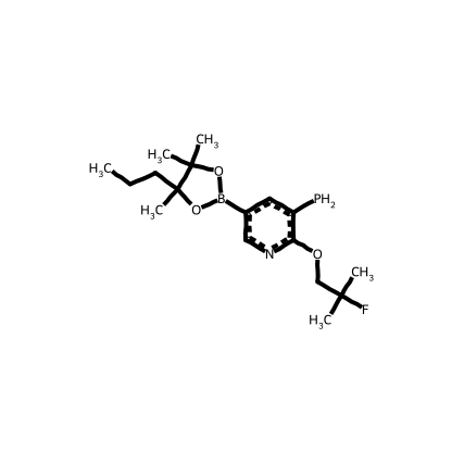 CCCC1(C)OB(c2cnc(OCC(C)(C)F)c(P)c2)OC1(C)C